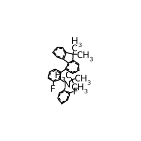 CC1(C)c2ccccc2-c2c(-c3cccc(F)c3N(c3ccccc3F)C(C)(C)C)cccc21